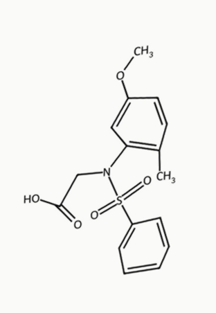 COc1ccc(C)c(N(CC(=O)O)S(=O)(=O)c2ccccc2)c1